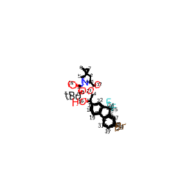 CC(C)(C)OC(=O)N1CC2(CC2)CC1C(=O)OCC(O)c1ccc2c(c1)C(F)(F)c1cc(Br)ccc1-2